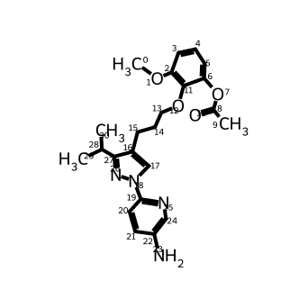 COc1cccc(OC(C)=O)c1OCCCc1cn(-c2ccc(N)cn2)nc1C(C)C